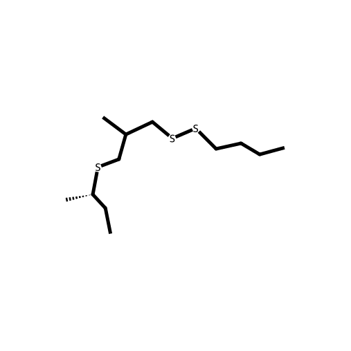 CCCCSSCC(C)CS[C@@H](C)CC